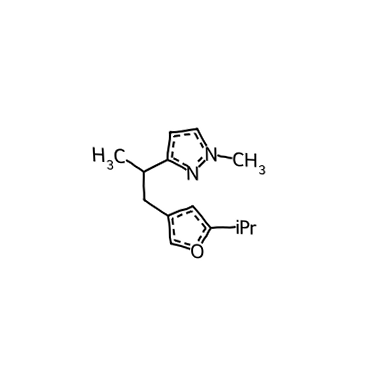 CC(C)c1cc(CC(C)c2ccn(C)n2)co1